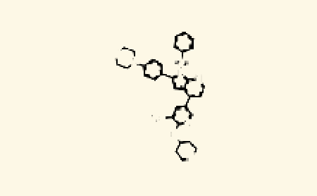 N#Cc1cc(-c2ccnc3c2cc(-c2ccc(N4CCOCC4)cc2)n3S(=O)(=O)c2ccccc2)cnc1OC1CCOCC1